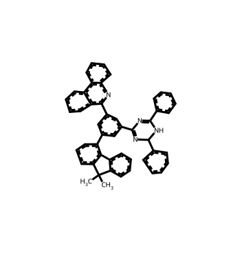 CC1(C)c2ccccc2-c2c(-c3cc(C4=NC(c5ccccc5)NC(c5ccccc5)=N4)cc(-c4nc5ccccc5c5ccccc45)c3)cccc21